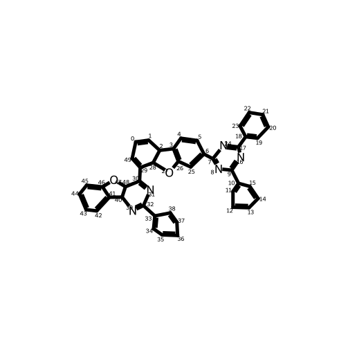 C1=CC2c3ccc(-c4nc(-c5ccccc5)nc(-c5ccccc5)n4)cc3OC2C(C2=NC(c3ccccc3)=NC3c4ccccc4OC23)=C1